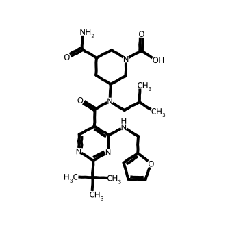 CC(C)CN(C(=O)c1cnc(C(C)(C)C)nc1NCc1ccco1)C1CC(C(N)=O)CN(C(=O)O)C1